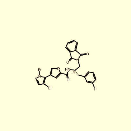 CCn1ncc(Cl)c1-c1coc(C(=O)N[C@@H](Cc2cccc(F)c2)CN2C(=O)c3ccccc3C2=O)c1